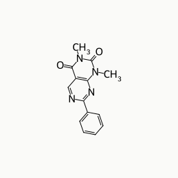 Cn1c(=O)c2cnc(-c3ccccc3)nc2n(C)c1=O